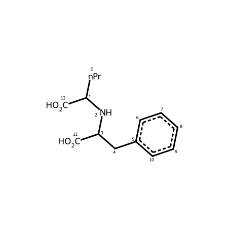 CCCC(NC(Cc1ccccc1)C(=O)O)C(=O)O